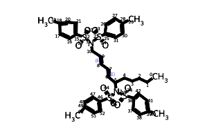 CCCCCC(/C=C/C=C/CN(S(=O)(=O)c1ccc(C)cc1)S(=O)(=O)c1ccc(C)cc1)N(S(=O)(=O)c1ccc(C)cc1)S(=O)(=O)c1ccc(C)cc1